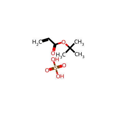 C=CC(=O)OC(C)(C)C.O=S(=O)(O)O